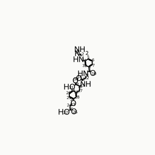 NN=CNc1cccc(C(=O)NCC(=O)NC(Cc2cccc(OCC(=O)O)c2)C(=O)O)c1